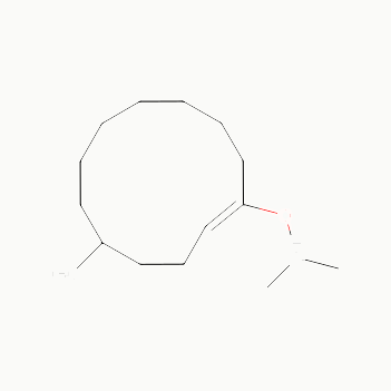 C[SiH](C)O/C1=C\CCC(C(C)(C)C)CCCCCCC1